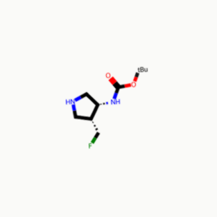 CC(C)(C)OC(=O)N[C@H]1CNC[C@H]1CF